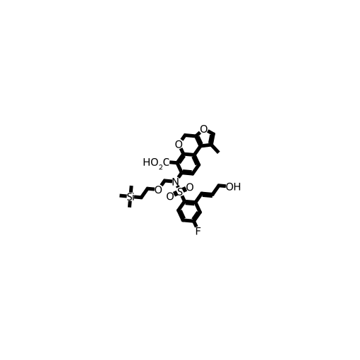 Cc1coc2c1-c1ccc(N(COCC[Si](C)(C)C)S(=O)(=O)c3ccc(F)cc3C=CCO)c(C(=O)O)c1OC2